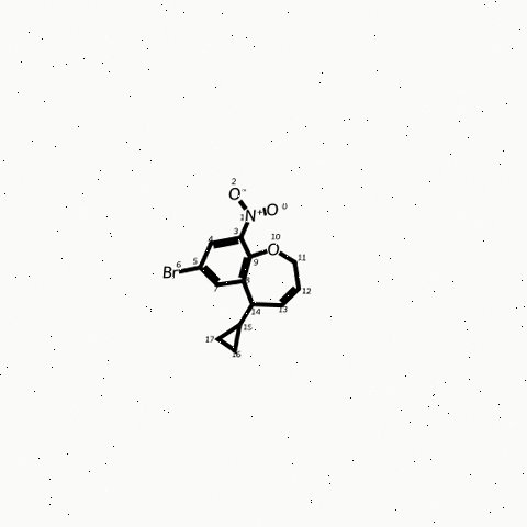 O=[N+]([O-])c1cc(Br)cc2c1OCC=CC2C1CC1